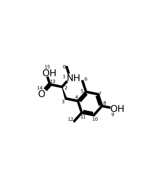 CN[C@@H](Cc1c(C)cc(O)cc1C)C(=O)O